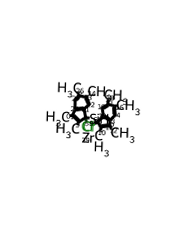 CC1=C(C)C(Cl)([SiH2]C2(Cl)C(C)=C(C)c3cc(C)c(C)cc32)c2cc(C)c(C)cc21.[Zr]